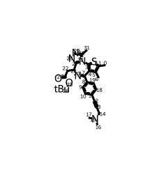 Cc1sc2c(c1C)C(c1ccc(C#CCN(C)C)cc1)=NC(CC(=O)OC(C)(C)C)c1nnc(C)n1-2